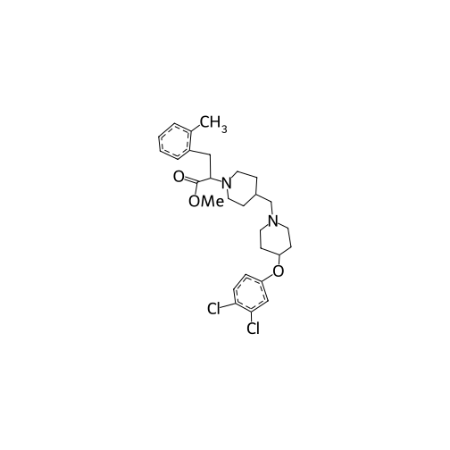 COC(=O)C(Cc1ccccc1C)N1CCC(CN2CCC(Oc3ccc(Cl)c(Cl)c3)CC2)CC1